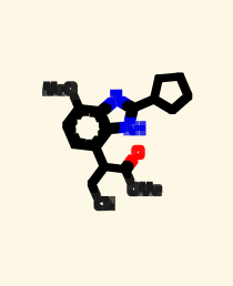 COC(=O)C(CC#N)c1ccc(OC)c2nc(C3CCCC3)[nH]c12